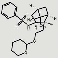 CC1(C)[C@H]2C[C@H](NS(=O)(=O)c3ccccc3)[C@H](CCOC3CCCCO3)[C@@H]1C2